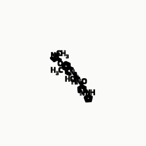 Cc1c(OCc2ccnn2C)ccc2c1CCN(C[C@@H](O)CNC(=O)c1ccnc(NC3CCCC3)c1)C2